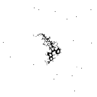 CCCCNC(=S)NCC(C)(C)c1nc(-c2ccc3cc(OC)ccc3c2)c(-c2ccncc2)[nH]1